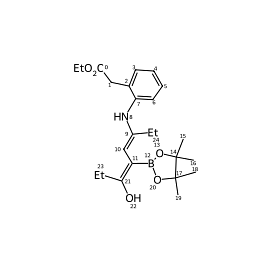 CCOC(=O)Cc1ccccc1N/C(=C/C(B1OC(C)(C)C(C)(C)O1)=C(/O)CC)CC